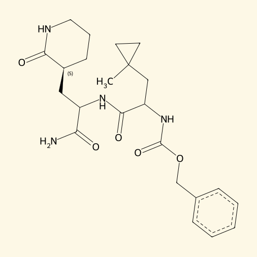 CC1(CC(NC(=O)OCc2ccccc2)C(=O)NC(C[C@@H]2CCCNC2=O)C(N)=O)CC1